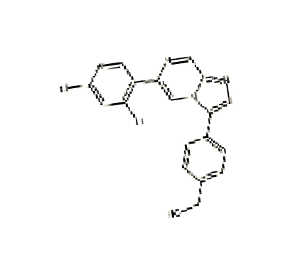 OCc1ccc(-c2cnc3cnc(-c4ccc(Cl)cc4Cl)cn23)cc1